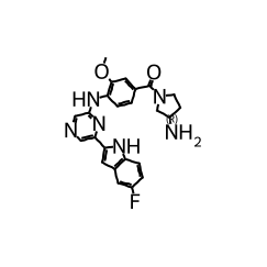 COc1cc(C(=O)N2CC[C@@H](N)C2)ccc1Nc1cncc(-c2cc3cc(F)ccc3[nH]2)n1